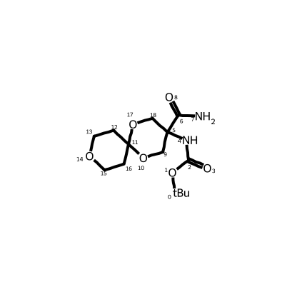 CC(C)(C)OC(=O)NC1(C(N)=O)COC2(CCOCC2)OC1